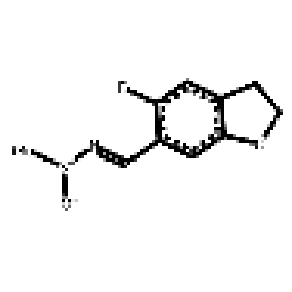 CC(C)(C)[S+]([O-])N=Cc1cc2c(cc1F)CCO2